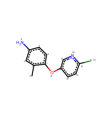 Cc1cc(N)ccc1Oc1ccc(F)nc1